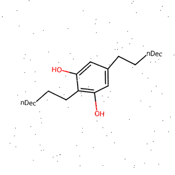 CCCCCCCCCCCCc1cc(O)c(CCCCCCCCCCCC)c(O)c1